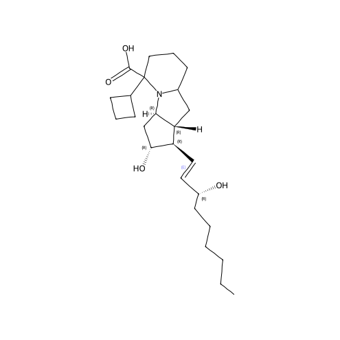 CCCCCC[C@@H](O)/C=C/[C@@H]1[C@H]2CC3CCCC(C(=O)O)(C4CCC4)N3[C@@H]2C[C@H]1O